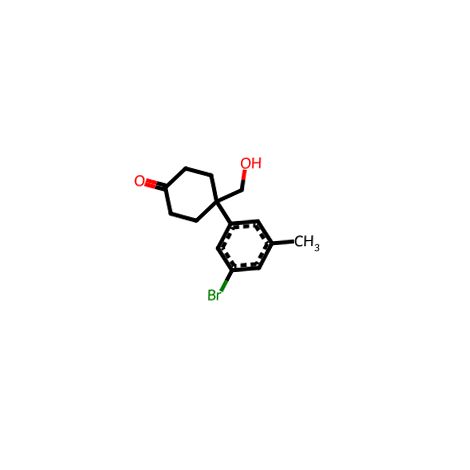 Cc1cc(Br)cc(C2(CO)CCC(=O)CC2)c1